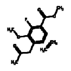 C=C.COC(=O)c1ccc(CC(C)=O)c(OC)c1F